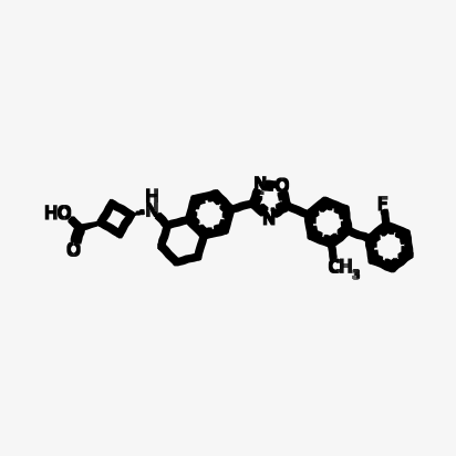 Cc1cc(-c2nc(-c3ccc4c(c3)CCCC4N[C@H]3C[C@H](C(=O)O)C3)no2)ccc1-c1ccccc1F